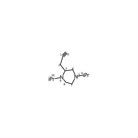 C#CCC1CN(C(C)C)CCN1C(C)C